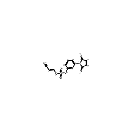 N#C/C=C/OS(=O)(=O)Oc1cccc(N2C(=O)C=CC2=O)c1